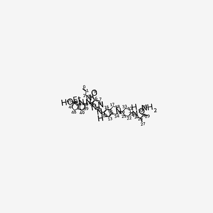 C=CCn1c(=O)c2cnc(Nc3ccc4c(c3)CCN(C3CCC(NCC(=C)C(=C)ON)CC3)C4)nc2n1-c1ccc2c(n1)[C@@](O)(CC)CC2